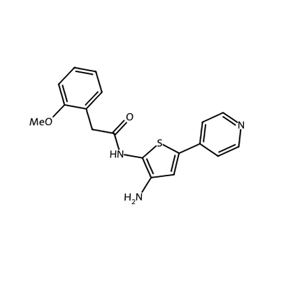 COc1ccccc1CC(=O)Nc1sc(-c2ccncc2)cc1N